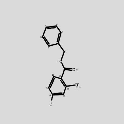 O=C(OCc1ccccc1)c1ccc(I)cc1C(F)(F)F